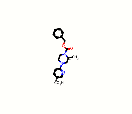 C[C@H]1CN(c2ccc(C(=O)O)cn2)CCN1C(=O)OCc1ccccc1